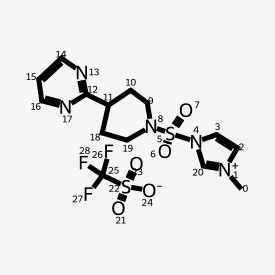 C[n+]1ccn(S(=O)(=O)N2CCC(c3ncccn3)CC2)c1.O=S(=O)([O-])C(F)(F)F